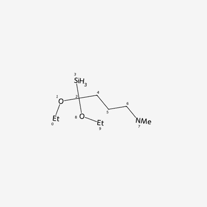 CCOC([SiH3])(CCCNC)OCC